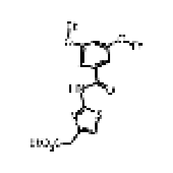 CCOC(=O)Cc1csc(NC(=O)c2cc(OCC)cc(OCC)c2)n1